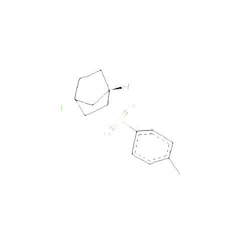 Cc1ccc(S(=O)(=O)[C@@H]2C[C@@]3(Cl)CC[C@H]2C3)cc1